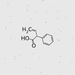 C=CC(C(=O)O)c1ccccc1